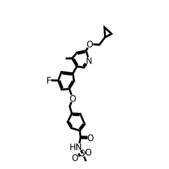 Cc1cc(OCC2CC2)ncc1-c1cc(F)cc(OCc2ccc(C(=O)NS(C)(=O)=O)cc2)c1